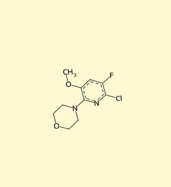 COc1cc(F)c(Cl)nc1N1CCOCC1